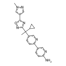 Cn1cc(-c2nc(C(C)(c3ccc(-c4ccc(N)nc4)nc3)C3CC3)no2)cn1